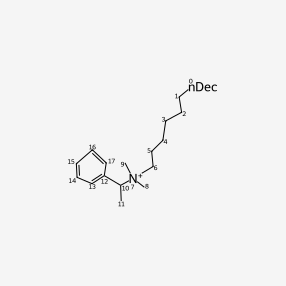 CCCCCCCCCCCCCCCC[N+](C)(C)C(C)c1ccccc1